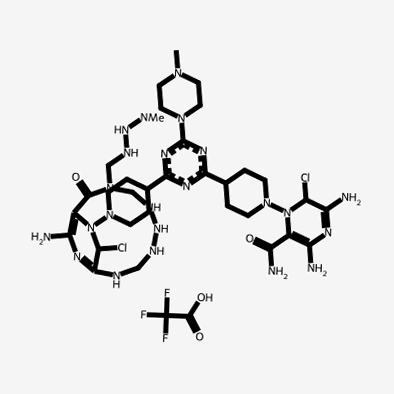 O=C(O)C(F)(F)F.[CH2]NNNCN1CNNNCNC2=NC(N)=C(C1=O)N(N1CCC(c3nc(C4CCN(N5C(C(N)=O)=C(N)N=C(N)C5Cl)CC4)nc(N4CCN(C)CC4)n3)CC1)C2Cl